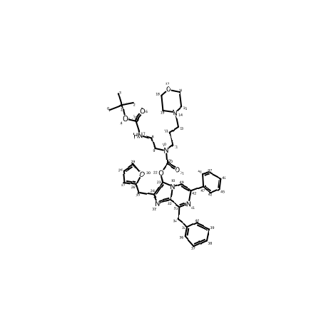 CC(C)(C)OC(=O)NCCN(CCCN1CCOCC1)C(=O)Oc1c(Cc2ccco2)nc2c(Cc3ccccc3)nc(-c3ccccc3)cn12